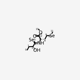 CC[C@@H](O)C(=[Se])N[C@@H](CC[Se]C)C(=O)OC